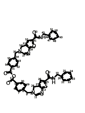 O=C(OC(=O)c1ccc(CN2C=Nc3sc(C(=O)NCc4ccccc4)cc3C2)cc1)c1ccc(CN2C=Nc3oc(C(=O)NCc4ccccc4)cc3C2)cc1